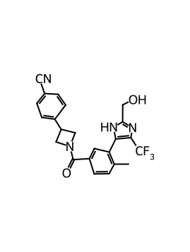 Cc1ccc(C(=O)N2CC(c3ccc(C#N)cc3)C2)cc1-c1[nH]c(CO)nc1C(F)(F)F